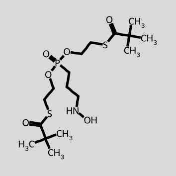 CC(C)(C)C(=O)SCCOP(=O)(CCCNO)OCCSC(=O)C(C)(C)C